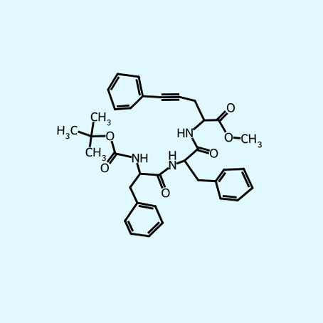 COC(=O)C(CC#Cc1ccccc1)NC(=O)C(Cc1ccccc1)NC(=O)C(Cc1ccccc1)NC(=O)OC(C)(C)C